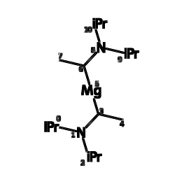 CC(C)N(C(C)C)[CH](C)[Mg][CH](C)N(C(C)C)C(C)C